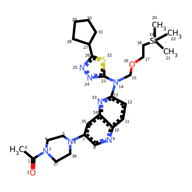 CC(=O)N1CCN(c2cnc3ccc(N(COCC[Si](C)(C)C)c4nnc(C5CCCC5)s4)nc3c2)CC1